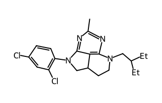 CCC(CC)CN1CCC2CN(c3ccc(Cl)cc3Cl)c3nc(C)nc1c32